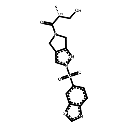 C[C@H](CO)C(=O)N1Cc2cn(S(=O)(=O)c3ccc4ncsc4c3)nc2C1